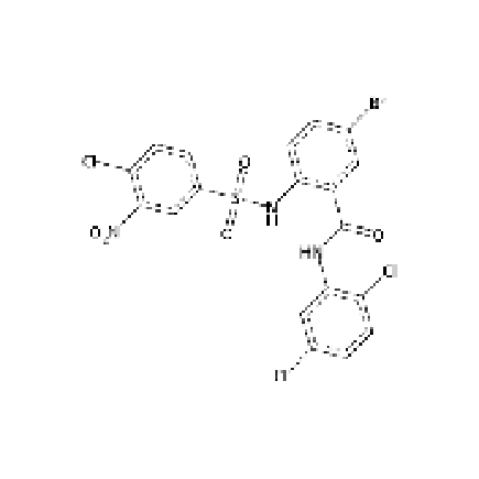 O=C(Nc1cc(Cl)ccc1Cl)c1cc(Br)ccc1NS(=O)(=O)c1ccc(Cl)c([N+](=O)[O-])c1